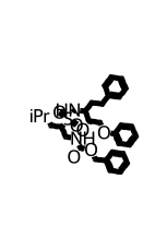 CC(C)CC(CNC(=O)OCc1ccccc1)S(=O)(=O)NC(CCc1ccccc1)C(=O)COc1ccccc1